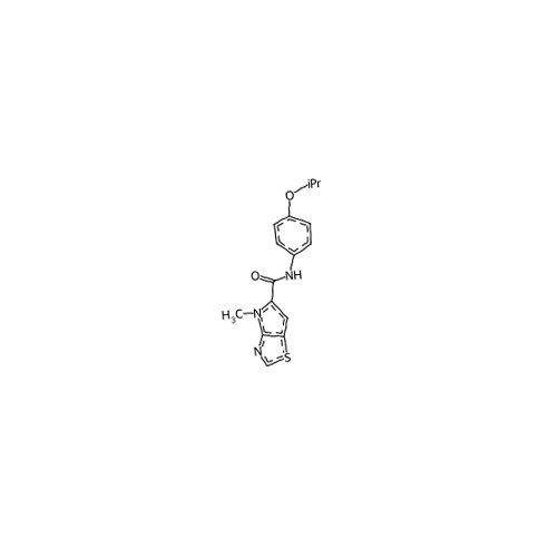 CC(C)Oc1ccc(NC(=O)c2cc3scnc3n2C)cc1